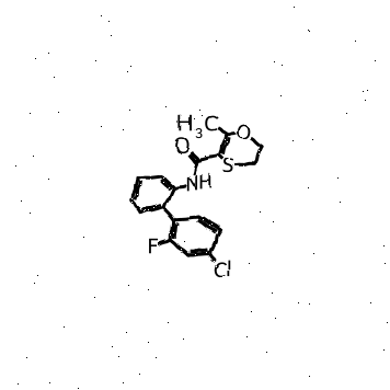 CC1=C(C(=O)Nc2ccccc2-c2ccc(Cl)cc2F)SCCO1